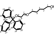 OCCCCCOCCOC(c1ccccc1)(c1ccccc1)c1ccccc1